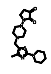 Cc1nc(N2CCCCC2)sc1CN1CCN(N2CCC(=O)C2=O)CC1